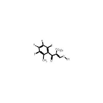 CCO/C=C(\C(=O)OCC)C(=O)c1c(C)c(F)c(F)c(F)c1F